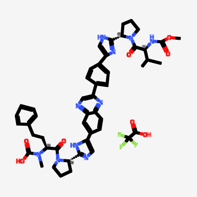 COC(=O)N[C@H](C(=O)N1CCC[C@H]1c1nc(-c2ccc(-c3cnc4cc(-c5cnc([C@@H]6CCCN6C(=O)[C@H](CCc6ccccc6)N(C)C(=O)O)[nH]5)ccc4n3)cc2)c[nH]1)C(C)C.O=C(O)C(F)(F)F